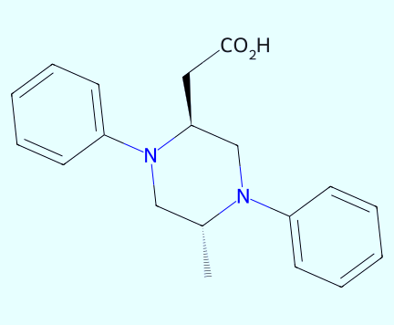 C[C@@H]1CN(c2ccccc2)[C@@H](CC(=O)O)CN1c1ccccc1